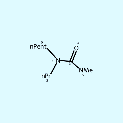 CCCCCN(CCC)C(=O)NC